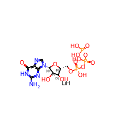 Nc1nc2c(ncn2[C@@H]2O[C@H](COP(=O)(O)OP(=O)(O)OP(=O)(O)O)[C@@H](O)[C@H]2O)c(=O)[nH]1.[LiH]